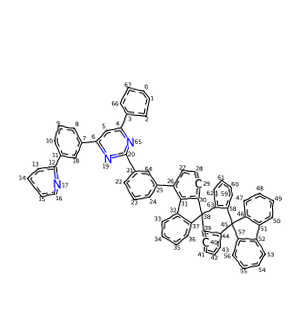 c1ccc(-c2cc(-c3cccc(-c4ccccn4)c3)nc(-c3cccc(-c4cccc5c4-c4ccccc4C54c5ccccc5C5(c6ccccc6-c6ccccc65)c5ccccc54)c3)n2)cc1